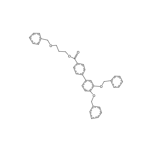 O=C(OCCCOCc1ccccc1)c1ccc(-c2ccc(OCc3ccccc3)c(OCc3ccccc3)c2)cc1